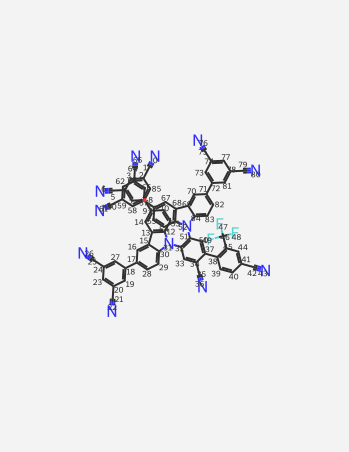 N#Cc1cc(C#N)cc(-c2ccc3c(c2)c2cc(-c4cc(C#N)cc(C#N)c4)ccc2n3-c2cc(C#N)c(-c3ccc(C#N)cc3C(F)(F)F)cc2-n2c3ccc(-c4cc(C#N)cc(C#N)c4)cc3c3cc(-c4cc(C#N)cc(C#N)c4)ccc32)c1